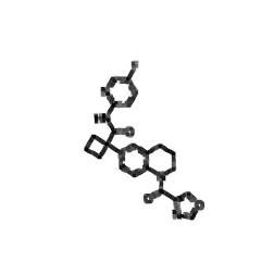 O=C(c1cocn1)N1CCCc2cc(C3(C(=O)Nc4ccc(F)cn4)CCC3)ccc21